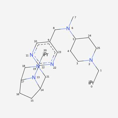 CC(C)CN1CCC(N(C)Cc2cnc(N3C4CCC3CN(C(C)C)C4)nc2)CC1